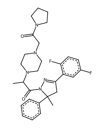 CC(C(=O)N1N=C(c2cc(F)ccc2F)CC1(C)c1ccccc1)N1CCN(CC(=O)N2CCCC2)CC1